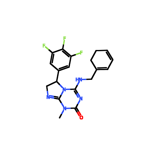 CN1C(=O)N=C(NCC2=CC=CCC2)N2C1=NCC2c1cc(F)c(F)c(F)c1